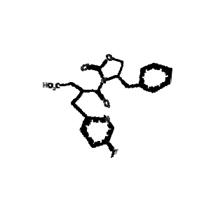 O=C(O)CC(Cc1ccc(F)cn1)C(=O)N1C(=O)OC[C@H]1Cc1ccccc1